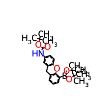 CC(C)(C)OC(=O)Nc1ccc2c(c1)Cc1cccc(B3OC(C)(C)C(C)(C)O3)c1O2